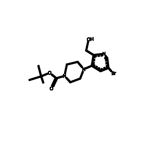 CC(C)(C)OC(=O)N1CCN(c2cc(Br)cnc2CO)CC1